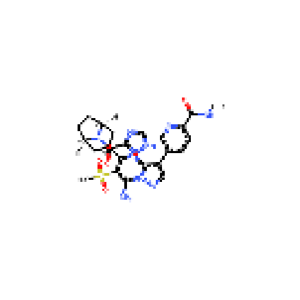 CNC(=O)c1ccc(-c2cnn3c(N)c(S(C)(=O)=O)c([C@H]4C[C@H]5CC[C@@H](C4)N5C(=O)c4nc[nH]n4)nc23)cn1